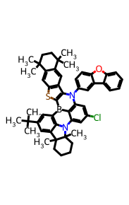 CC(C)(C)c1cc2c3c(c1)C1(C)CCCCC1(C)N3c1cc(Cl)cc3c1B2c1sc2cc4c(cc2c1N3c1ccc2oc3ccccc3c2c1)C(C)(C)CCC4(C)C